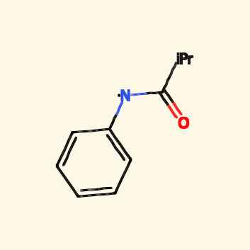 CC(C)C(=O)[N]c1ccccc1